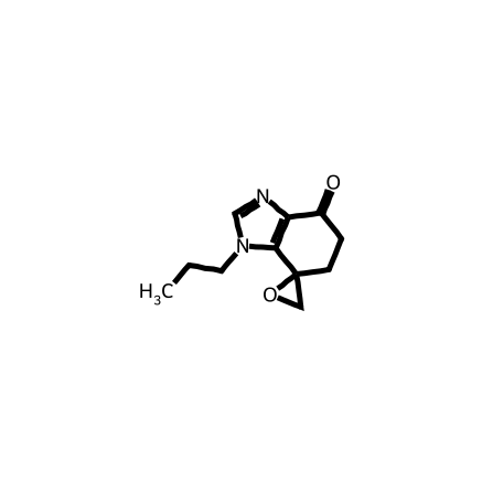 CCCn1cnc2c1C1(CCC2=O)CO1